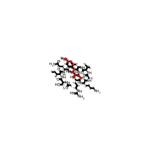 CC[C@H](C)[C@H](NC(=O)[C@@H](NC(C)=O)[C@H](C)O)C(=O)N[C@@H](CCC(N)=O)C(=O)N[C@@H](Cc1ccc(O)cc1)C(=O)N[C@@H](CCCNC(=N)N)C(=O)N[C@@H](CCCCN)C(=O)N[C@@H](C)C(=O)N[C@H](C(=O)N[C@@H](CCCCN)C(=O)N[C@@H](C)C(N)=O)C(C)C